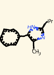 Cc1nc(C(C)C)[nH]c1-c1ccccc1